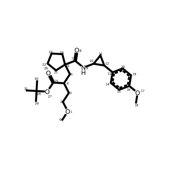 COCCC(CC1(C(=O)NC2CC2c2ccc(OC)cc2)CCCC1)C(=O)OC(C)(C)C